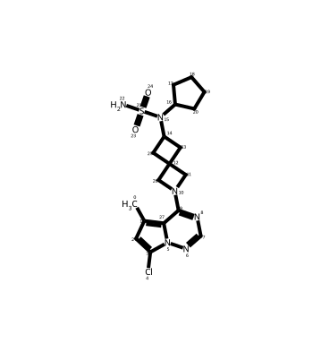 Cc1cc(Cl)n2ncnc(N3CC4(CC(N(C5CCCC5)S(N)(=O)=O)C4)C3)c12